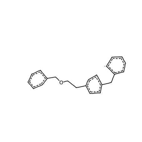 [c]1ccccc1Cc1ccc(CCOCc2ccccc2)cc1